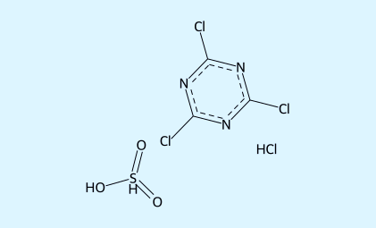 Cl.Clc1nc(Cl)nc(Cl)n1.O=[SH](=O)O